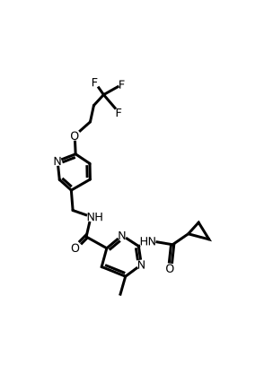 Cc1cc(C(=O)NCc2ccc(OCCC(F)(F)F)nc2)nc(NC(=O)C2CC2)n1